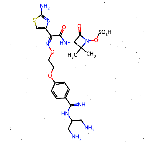 CC1(C)[C@H](NC(=O)/C(=N\OCCOc2ccc(C(=N)NC(CN)CN)cc2)c2csc(N)n2)C(=O)N1OS(=O)(=O)O